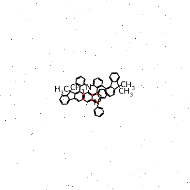 CC1(C)c2ccccc2-c2c(-c3cccc(N(c4ccccc4-c4cccc5c4C(C)(C)c4ccccc4-5)c4cccc5c4c4ccccc4n5-c4ccccc4)c3-c3ccccc3)cccc21